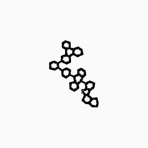 c1ccc(-c2ccc3c4ccccc4c4ccccc4c3c2)c(-c2ccc(-c3c4ccccc4c(-c4cccc5c4sc4ccc6ccccc6c45)c4ccccc34)cc2)c1